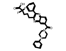 O=C(c1ccc2nc(-c3ccccc3)c(CCCC(F)(F)C(=O)O)nc2c1)N1CCN(c2ccccc2)CC1